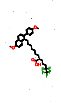 COc1ccc(-c2ccc3cc(OC)ccc3c2CCCCCCCC(CCCC(F)(F)C(F)(F)F)C(=O)O)cc1